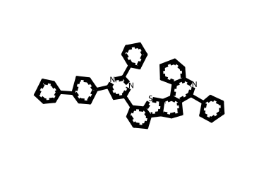 c1ccc(-c2ccc(-c3cc(-c4cccc5c4sc4c5ccc5c(-c6ccccc6)nc6ccccc6c54)nc(-c4ccccc4)n3)cc2)cc1